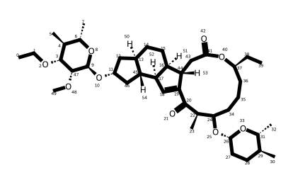 CCO[C@@H]1[C@@H](C)[C@H](C)O[C@@H](O[C@@H]2C[C@H]3CC[C@@H]4[C@@H](C=C5C(=O)[C@H](C)C(O[C@H]6CC[C@H](C)[C@@H](C)O6)CCC[C@H](CC)OC(=O)C[C@H]54)[C@@H]3C2)[C@@H]1OC